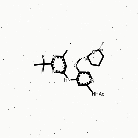 CC(=O)Nc1cc(Nc2cc(C)nc(C(C)(F)F)n2)c(OC[C@H]2CCC[C@@H](C)O2)cn1